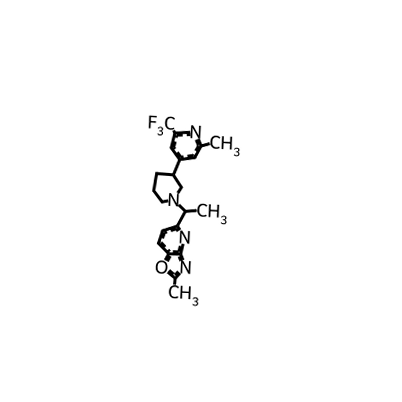 Cc1cc(C2CCCN(C(C)c3ccc4oc(C)nc4n3)C2)cc(C(F)(F)F)n1